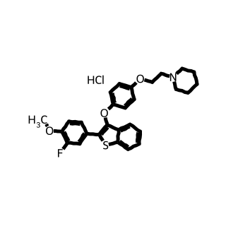 COc1ccc(-c2sc3ccccc3c2Oc2ccc(OCCN3CCCCC3)cc2)cc1F.Cl